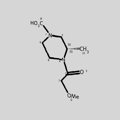 COCC(=O)N1CCN(C(=O)O)C[C@@H]1C